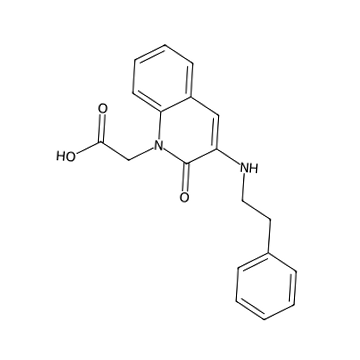 O=C(O)Cn1c(=O)c(NCCc2ccccc2)cc2ccccc21